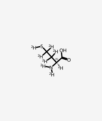 [2H]SC([2H])([2H])C([2H])([2H])[C@@]([2H])(C(=O)O)N([2H])[2H]